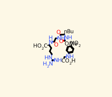 CCCC[C@H](NC(=O)OC)C(=O)NCC(=O)N[C@@H](CCCNC(=N)N)C(=O)O.O=C(O)CNc1ccc([N+](=O)[O-])cc1